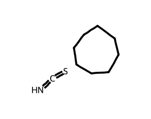 C1CCCCCCC1.N=C=S